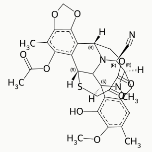 COc1c(C)cc2c(c1O)[C@H]1C3[C@@H]4SCC(=O)C(=O)OC[C@@H](c5c6c(c(C)c(OC(C)=O)c54)OCO6)N3[C@@H](C#N)[C@@H](C2)N1C